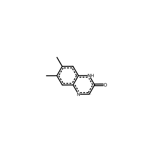 Cc1cc2n[c]c(=O)[nH]c2cc1C